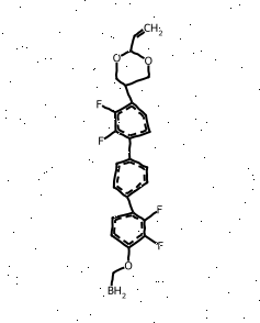 BCOc1ccc(-c2ccc(-c3ccc(C4COC(C=C)OC4)c(F)c3F)cc2)c(F)c1F